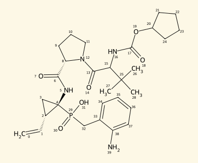 C=C[C@@H]1C[C@]1(NC(=O)[C@@H]1CCCN1C(=O)C(NC(=O)OC1CCCC1)C(C)(C)C)P(=O)(O)Cc1ccccc1N